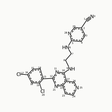 N#Cc1ccc(NCCNc2nc(-c3ccc(Cl)cc3Cl)nc3ccncc23)nc1